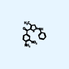 CC1=C(C(=O)c2ccc(N)c([N+](=O)[O-])c2)SN(Nc2ccccc2)C1